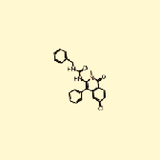 Cn1c(NC(=O)NCc2ccccc2)c(-c2ccccc2)c2cc(Cl)ccc2c1=O